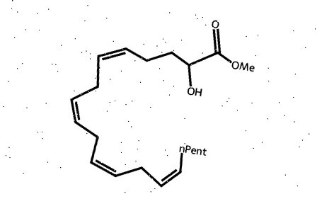 CCCCC/C=C\C/C=C\C/C=C\C/C=C\CCC(O)C(=O)OC